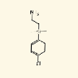 C[Si](C)(CCN)c1ccc(Cl)cc1